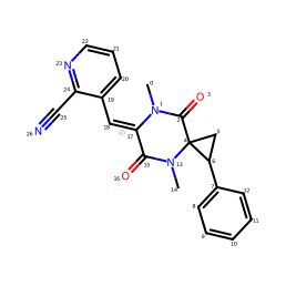 CN1C(=O)C2(CC2c2ccccc2)N(C)C(=O)/C1=C/c1cccnc1C#N